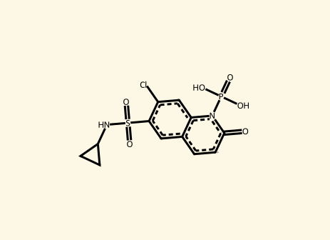 O=c1[c]cc2cc(S(=O)(=O)NC3CC3)c(Cl)cc2n1P(=O)(O)O